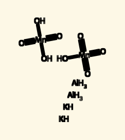 [AlH3].[AlH3].[KH].[KH].[O]=[Mn](=[O])(=[O])[OH].[O]=[Mn](=[O])([OH])[OH]